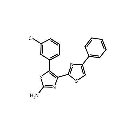 Nc1nc(-c2nc(-c3ccccc3)cs2)c(-c2cccc(Cl)c2)s1